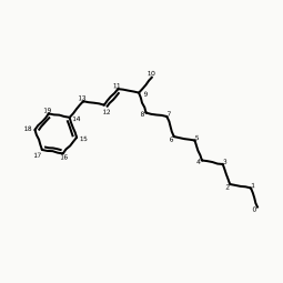 CCCCCCCCCC(C)C=CCc1ccccc1